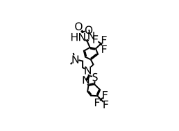 CN(C)CCN(Cc1ccc(-c2noc(=O)[nH]2)c(C(F)(F)F)c1)c1nc2ccc(C(F)(F)F)cc2s1